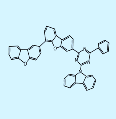 c1ccc(-c2nc(-c3ccc4c(c3)oc3c(-c5ccc6oc7ccccc7c6c5)cccc34)nc(-n3c4ccccc4c4ccccc43)n2)cc1